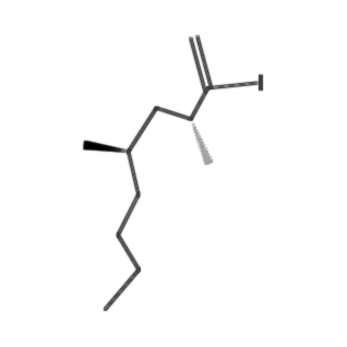 C=C(I)[C@H](C)C[C@H](C)CCCC